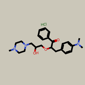 CN1CCN(CC(O)COC(Cc2ccc(N(C)C)cc2)C(=O)c2ccccc2)CC1.Cl